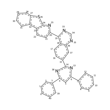 c1ccc(-c2cc(-c3ccccc3)nc(-c3ccc4c(-c5ccc6c(n5)sc5ccccc56)ncnc4c3)n2)cc1